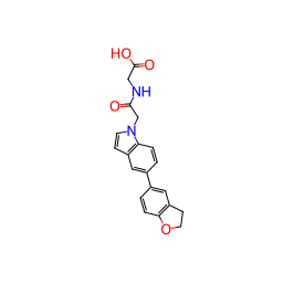 O=C(O)CNC(=O)Cn1ccc2cc(-c3ccc4c(c3)CCO4)ccc21